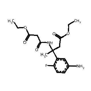 CCOC(=O)CC(=O)NC(C)(CC(=O)OCC)c1cc(N)ccc1F